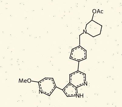 COc1ccc(-c2c[nH]c3ncc(-c4ccc(CN5CCCC(OC(C)=O)C5)cc4)cc23)cn1